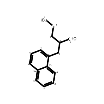 CCC(C)SCC(C=O)Cc1cccc2ccccc12